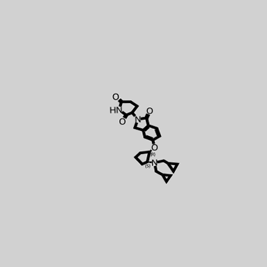 O=C1CCC(N2Cc3cc(O[C@@H]4CCC[C@@H]4N(CC4CC4)CC4CC4)ccc3C2=O)C(=O)N1